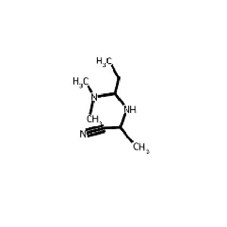 CCC(NC(C)C#N)N(C)C